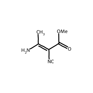 [C-]#[N+]C(C(=O)OC)=C(C)N